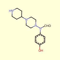 O=CN(c1ccc(O)cc1)N1CCN(C2CCNCC2)CC1